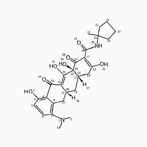 CN(C)c1ccc(O)c2c1C[C@H]1C[C@H]3CC(O)=C(C(=O)NC4(C)CCCC4)C(=O)[C@@]3(O)C(O)=C1C2=O